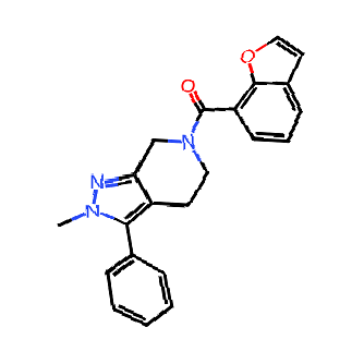 Cn1nc2c(c1-c1ccccc1)CCN(C(=O)c1cccc3ccoc13)C2